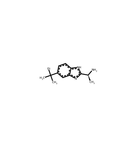 CCC(C)(C)c1ccc2[nH]c([C@H](C)N)nc2c1